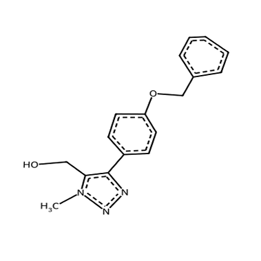 Cn1nnc(-c2ccc(OCc3ccccc3)cc2)c1CO